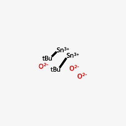 C[C](C)(C)[Sn+3].C[C](C)(C)[Sn+3].[O-2].[O-2].[O-2]